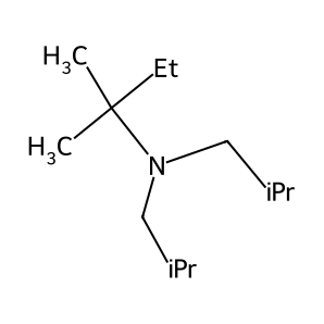 CCC(C)(C)N(CC(C)C)CC(C)C